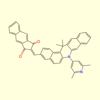 Cc1cc(N2c3cc4ccccc4cc3C(C)(C)c3c2ccc2cc(C=C4C(=O)c5cc6ccccc6cc5C4=O)ccc32)cc(C)n1